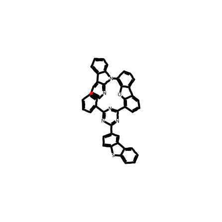 c1ccc(-c2nc(-c3ccc4sc5ccccc5c4c3)nc(-c3cccc4c3oc3c(-n5c6ccccc6c6cccnc65)cccc34)n2)cc1